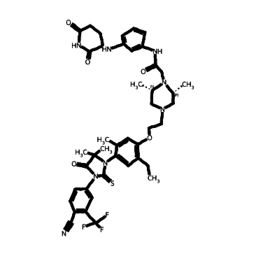 CCc1cc(N2C(=S)N(c3ccc(C#N)c(C(F)(F)F)c3)C(=O)C2(C)C)c(C)cc1OCCN1C[C@@H](C)N(CC(=O)Nc2cccc(NC3CCC(=O)NC3=O)c2)[C@@H](C)C1